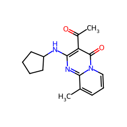 CC(=O)c1c(NC2CCCC2)nc2c(C)cccn2c1=O